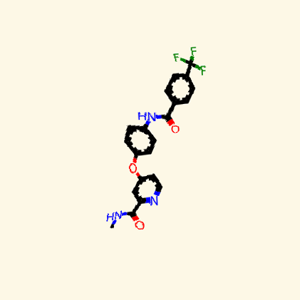 CNC(=O)c1cc(Oc2ccc(NC(=O)c3ccc(C(F)(F)F)cc3)cc2)ccn1